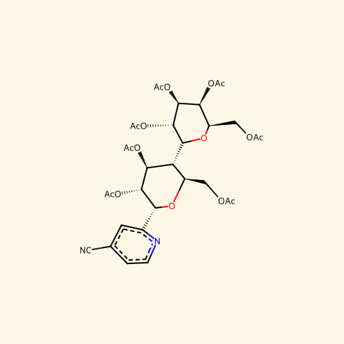 CC(=O)OC[C@H]1OC([C@H]2[C@H](OC(C)=O)[C@@H](OC(C)=O)[C@@H](c3cc(C#N)ccn3)O[C@@H]2COC(C)=O)[C@H](OC(C)=O)[C@@H](OC(C)=O)[C@H]1OC(C)=O